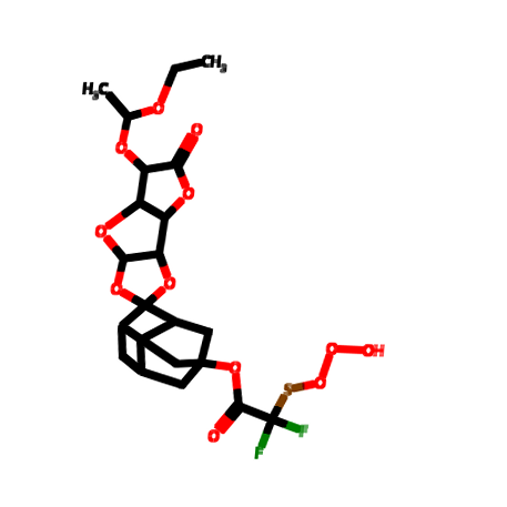 CCOC(C)OC1C(=O)OC2C3OC4(OC3OC12)C1CC2CC4CC(OC(=O)C(F)(F)SOOO)(C2)C1